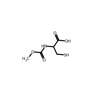 COC(=O)NC(CS)C(=O)O